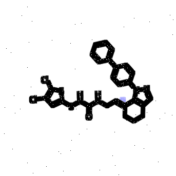 O=C(NC/C=C1\CCCc2cnn(-c3ccc(-c4ccccc4)cc3)c21)NSc1cc(Cl)c(Cl)s1